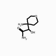 NC(=O)C(O)C1(N)CCOCC1